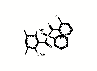 COc1c(C)cc(C)c(OC)c1C(=O)P(=O)(C(=O)c1c(C)cccc1Cl)c1ccccc1